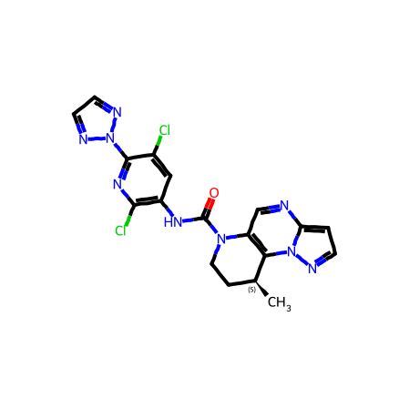 C[C@H]1CCN(C(=O)Nc2cc(Cl)c(-n3nccn3)nc2Cl)c2cnc3ccnn3c21